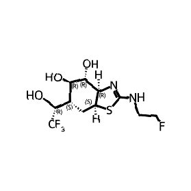 O[C@H]1[C@H](O)[C@H]2N=C(NCCF)S[C@H]2C[C@@H]1[C@@H](O)C(F)(F)F